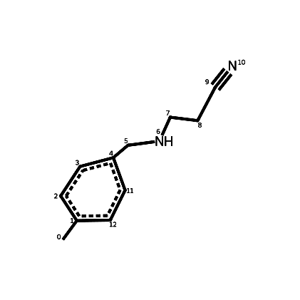 Cc1ccc(CNCCC#N)cc1